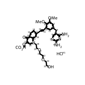 COc1cc(Cc2cnc(N)nc2N)cc(C#Cc2ccc3c(=O)c(OC(=O)O)cn(CCOCCOCCO)c3c2)c1OC.Cl